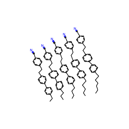 CCCCCCc1ccc(-c2ccc(CCc3ccc(C#N)cc3)cc2)cc1.CCCCCc1ccc(-c2ccc(CCc3ccc(C#N)cc3)cc2)cc1.CCCCc1ccc(-c2ccc(CCc3ccc(C#N)cc3)cc2)cc1.CCCc1ccc(-c2ccc(CCc3ccc(C#N)cc3)cc2)cc1.CCc1ccc(-c2ccc(CCc3ccc(C#N)cc3)cc2)cc1